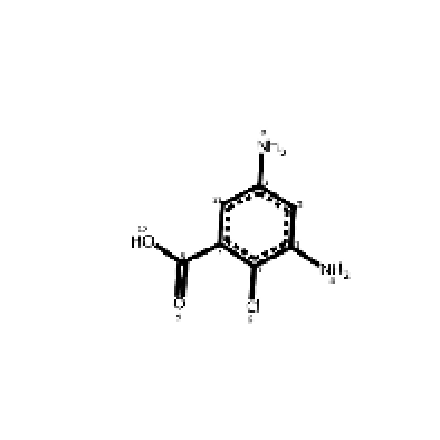 Nc1cc(N)c(Cl)c(C(=O)O)c1